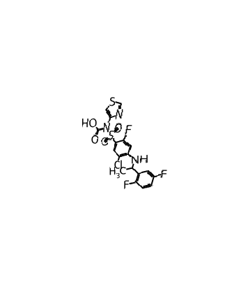 CC(Nc1cc(F)c(S(=O)(=O)N(C(=O)O)c2cscn2)cc1Cl)c1cc(F)ccc1F